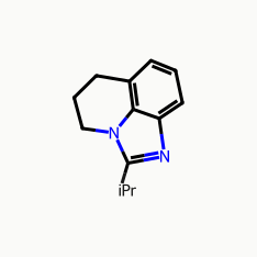 CC(C)c1nc2cccc3c2n1CCC3